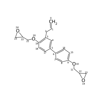 C=CCc1cc(-c2ccc(OCC3CO3)cc2)ccc1OCC1CO1